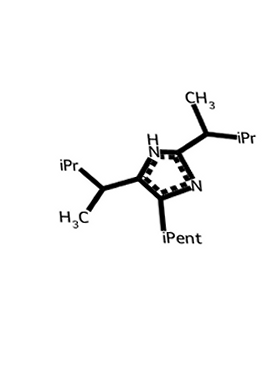 CCCC(C)c1nc(C(C)C(C)C)[nH]c1C(C)C(C)C